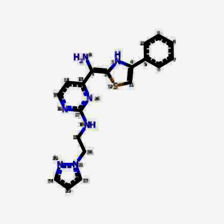 N/C(=C1\NC(c2ccccc2)=CS1)c1ccnc(NCCn2cccn2)n1